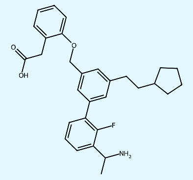 CC(N)c1cccc(-c2cc(CCC3CCCC3)cc(COc3ccccc3CC(=O)O)c2)c1F